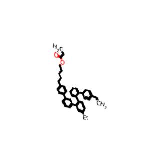 C=CC(=O)OCCCCCc1ccc(-c2cccc(-c3cc(CC)ccc3-c3ccccc3-c3ccc(C=C)cc3)c2)cc1